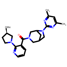 CO[C@@H]1CCN(c2ncccc2C(=O)N2CC3CC(C2)N(c2nc(C)cc(C)n2)C3)C1